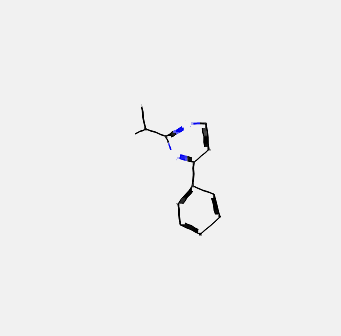 CC(C)c1nccc(-c2ccccc2)n1